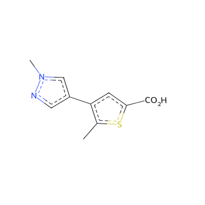 Cc1sc(C(=O)O)cc1-c1cnn(C)c1